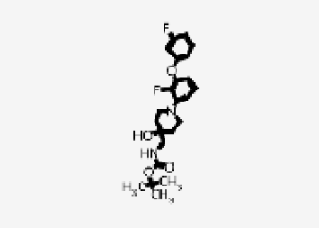 CC(C)(C)OC(=O)NCC1(O)CCN(c2cccc(Oc3cccc(F)c3)c2F)CC1